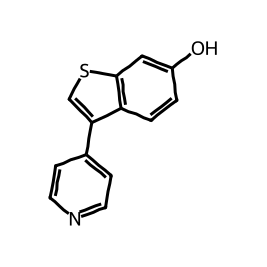 Oc1ccc2c(-c3ccncc3)csc2c1